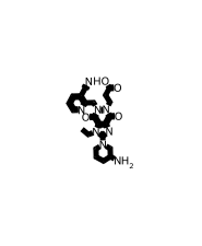 CCn1c(N2CCCC(N)C2)nc2c(=O)n(CCC(=O)O)n(Cc3ncccc3C#N)c(=O)c21